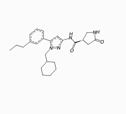 CCCc1cccc(-c2cc(NC(=O)[C@H]3CNC(=O)C3)nn2CC2CCCCC2)c1